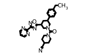 CCc1ccc(C2CC(c3nc(-c4ncccn4)no3)CN(C(=O)N3CCC(C#N)CC3)C2)cc1